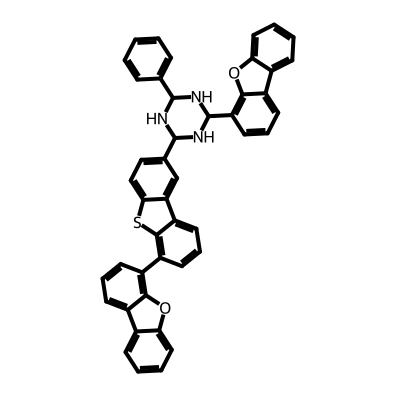 c1ccc(C2NC(c3ccc4sc5c(-c6cccc7c6oc6ccccc67)cccc5c4c3)NC(c3cccc4c3oc3ccccc34)N2)cc1